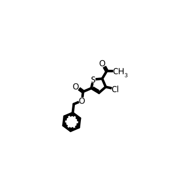 CC(=O)C1SC(C(=O)OCc2ccccc2)=CC1Cl